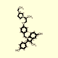 CC[C@@H]1CCN([C@@H](C)COc2ccc(Cn3c(-c4ccc(O)cc4)c(C)c4cc(O)ccc43)cc2)C1